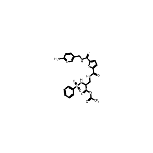 Nc1ccc(CNC(=O)c2ccc(C(=O)NCC(NS(=O)(=O)c3ccccc3)C(=O)OC(=O)C(F)(F)F)s2)cn1